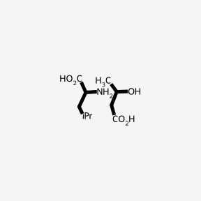 CC(C)CC(N)C(=O)O.CC(O)CC(=O)O